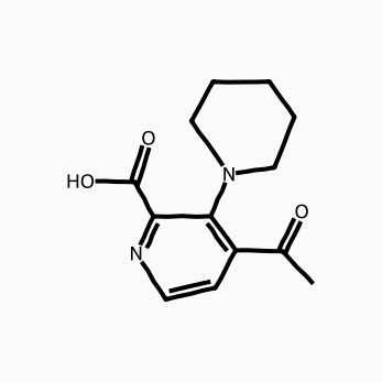 CC(=O)c1ccnc(C(=O)O)c1N1CCCCC1